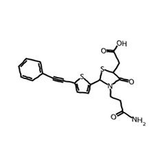 NC(=O)CCN1C(=O)C(CC(=O)O)SC1c1ccc(C#Cc2ccccc2)s1